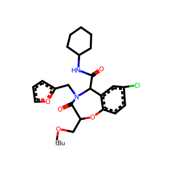 CC(C)(C)OCC1Oc2ccc(Cl)cc2C(C(=O)NC2CCCCC2)N(Cc2ccco2)C1=O